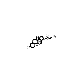 CC(C)CC(=O)O[C@H]1CC[C@H]2[C@@H]3CCC4=CC(=O)CC[C@]4(C)[C@H]3CC[C@]12C